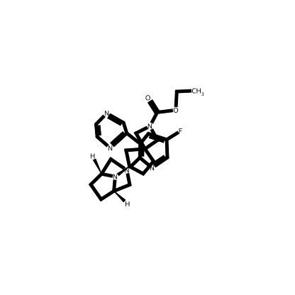 CCOC(=O)N1CC2(CC[C@@H](N3[C@@H]4CC[C@H]3CN(c3ncc(F)cc3-c3cnccn3)C4)C2)C1